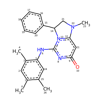 Cc1cc(C)c(Nc2nc(=O)cc3n2C(c2ccccc2)CN3C)cc1C